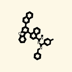 C=N/C(=N\C(=N/Cc1ccccc1)C1=CCC(C)C=C1)c1ccc(-c2cc(-c3ccc4ccccc4c3)cc3oc4ccccc4c23)c2ccccc12